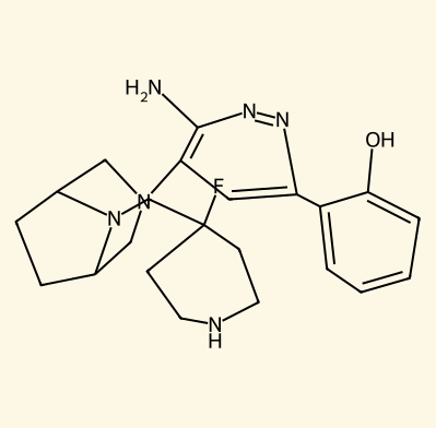 Nc1nnc(-c2ccccc2O)cc1N1CC2CCC(C1)N2CC1(F)CCNCC1